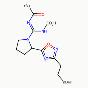 CCCCCCCCCCCCc1noc(C2CCCN2/C(=N/C(=O)C(C)(C)C)NC(=O)O)n1